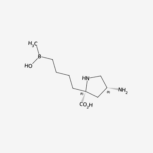 CB(O)CCCC[C@]1(C(=O)O)C[C@@H](N)CN1